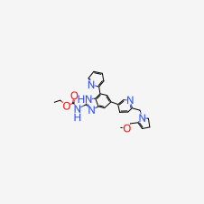 CCOC(=O)Nc1nc2cc(-c3ccc(CN4CCC=C4COC)nc3)cc(-c3ccccn3)c2[nH]1